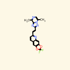 Cc1ncc(C)n2nc(C=Cc3ccc4cc5c(cc4n3)OC(F)(F)O5)nc12